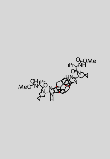 COC(=O)NC(C(=O)N1CC2(CC2)C[C@H]1c1nc2cc(-c3cc4ccc3CCc3ccc(c(-c5ccc6[nH]c([C@@H]7CC8(CC8)CN7C(=O)C(NC(=O)OC)C(C)C)nc6c5)c3)CC4)ccc2[nH]1)C(C)C